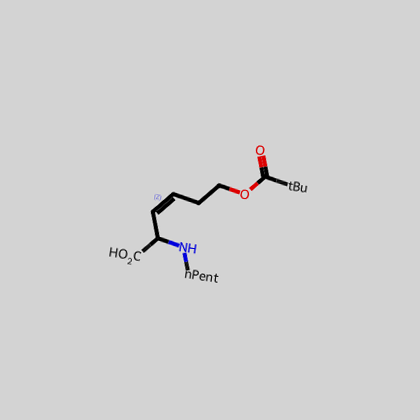 CCCCCNC(/C=C\CCOC(=O)C(C)(C)C)C(=O)O